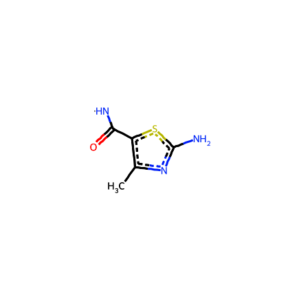 Cc1nc(N)sc1C([NH])=O